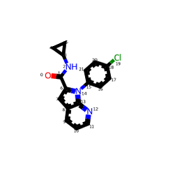 O=C(NC1CC1)c1cc2cccnc2n1-c1ccc(Cl)cc1